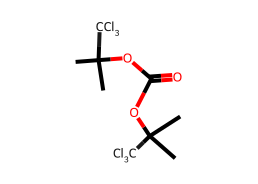 CC(C)(OC(=O)OC(C)(C)C(Cl)(Cl)Cl)C(Cl)(Cl)Cl